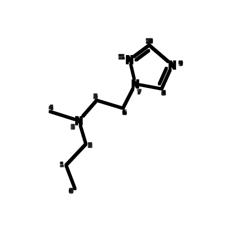 CCCN(C)CCn1cncn1